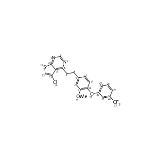 COc1cc(C[CH]c2ncnc3scc(Cl)c23)ccc1Oc1cc(C(F)(F)F)ccn1